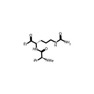 CCC(=O)[C@H](CCCNC(N)=O)NC(=O)[C@@H](NC)C(C)C